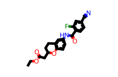 CCOC(=O)CC1CCc2cc(NC(=O)c3ccc(C#N)cc3F)ccc2O1